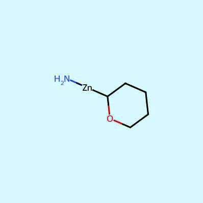 [NH2][Zn][CH]1CCCCO1